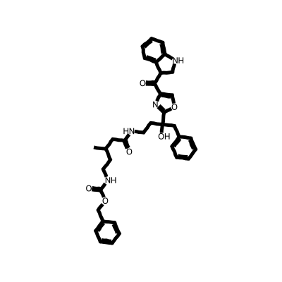 CC(CCNC(=O)OCc1ccccc1)CC(=O)NCCC(O)(Cc1ccccc1)c1nc(C(=O)C2CNc3ccccc32)co1